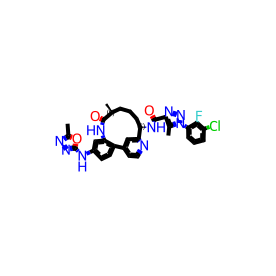 Cc1nnc(Nc2ccc3c(c2)NC(=O)[C@@H](C)CCC[C@H](NC(=O)c2nnn(-c4cccc(Cl)c4F)c2C)c2cc-3ccn2)o1